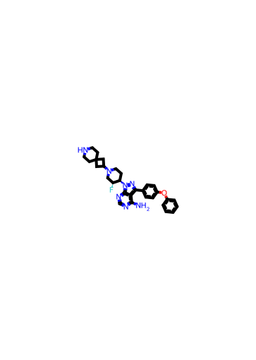 Nc1ncnc2c1c(-c1ccc(Oc3ccccc3)cc1)nn2[C@@H]1CCN(C2CC3(CCNCC3)C2)C[C@H]1F